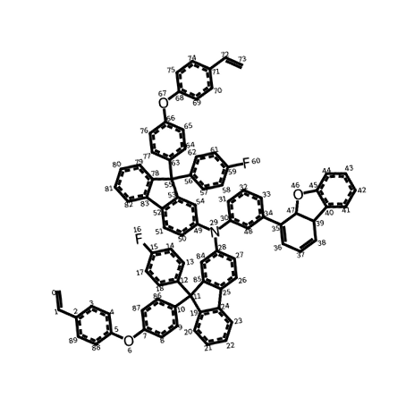 C=Cc1ccc(Oc2ccc(C3(c4ccc(F)cc4)c4ccccc4-c4ccc(N(c5cccc(C6=CC=CC7c8ccccc8OC67)c5)c5ccc6c(c5)C(c5ccc(F)cc5)(c5ccc(Oc7ccc(C=C)cc7)cc5)c5ccccc5-6)cc43)cc2)cc1